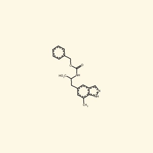 Cc1cc(CC(NC(=O)OCc2ccccc2)C(=O)O)cc2cn[nH]c12